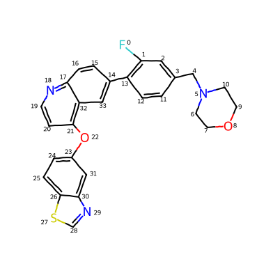 Fc1cc(CN2CCOCC2)ccc1-c1ccc2nccc(Oc3ccc4scnc4c3)c2c1